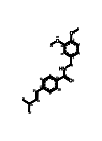 COc1ccc(CNC(=O)c2ccc(/C=C/C(C)C)cc2)cc1OC